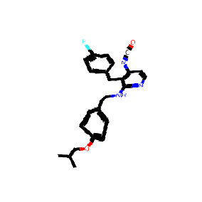 CC(C)COc1ccc(CNc2nccc(N=C=O)c2Cc2ccc(F)cc2)cc1